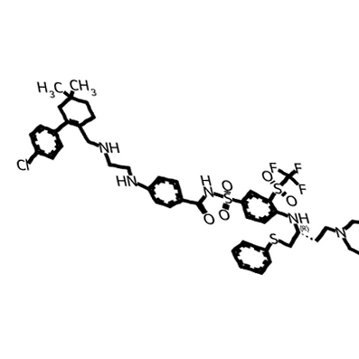 CC1(C)CCC(CNCCNc2ccc(C(=O)NS(=O)(=O)c3ccc(N[C@H](CCN4CCCOCC4)CSc4ccccc4)c(S(=O)(=O)C(F)(F)F)c3)cc2)=C(c2ccc(Cl)cc2)C1